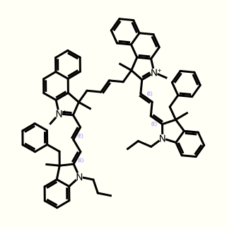 CCCN1/C(=C/C=C/C2=[N+](C)c3ccc4ccccc4c3C2(C)CC=CCC2(C)C(/C=C/C=C3/N(CCC)c4ccccc4C3(C)Cc3ccccc3)=[N+](C)c3ccc4ccccc4c32)C(C)(Cc2ccccc2)c2ccccc21